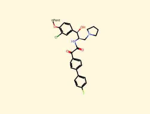 CCCCCOc1ccc([C@@H](O)[C@@H](CN2CCCC2)NC(=O)C(=O)c2ccc(-c3ccc(F)cc3)cc2)cc1Cl